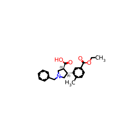 CCOC(=O)c1ccc(C)c([C@@H]2CN(Cc3ccccc3)C[C@H]2C(=O)O)c1